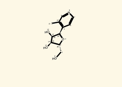 OC[C@H]1O[C@H](c2ccncc2I)[C@H](O)[C@@H]1O